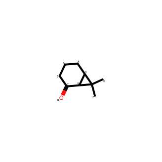 CC1(C)C2CCCC(=O)C21